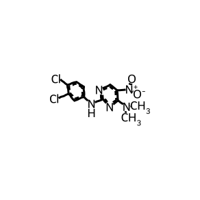 CN(C)c1nc(Nc2ccc(Cl)c(Cl)c2)ncc1[N+](=O)[O-]